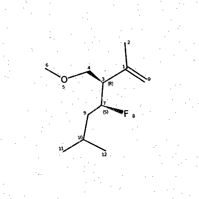 C=C(C)[C@H](COC)[C@@H](F)CC(C)C